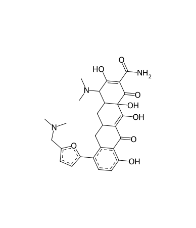 CN(C)Cc1ccc(-c2ccc(O)c3c2CC2CC4C(N(C)C)C(O)=C(C(N)=O)C(=O)C4(O)C(O)=C2C3=O)o1